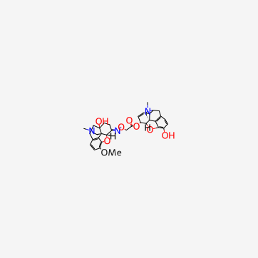 COc1ccc2c3c1O[C@H]1C(=NOCC(=O)O[C@H]4C=CC5C6Cc7ccc(O)c8c7[C@@]5(CCN6C)[C@H]4O8)CC[C@@]4(O)C(C2)N(C)CC[C@]314